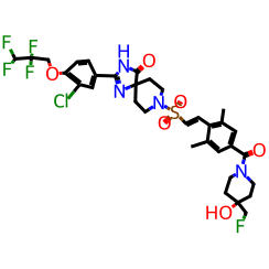 Cc1cc(C(=O)N2CCC(O)(CF)CC2)cc(C)c1/C=C/S(=O)(=O)N1CCC2(CC1)N=C(c1ccc(OCC(F)(F)C(F)F)c(Cl)c1)NC2=O